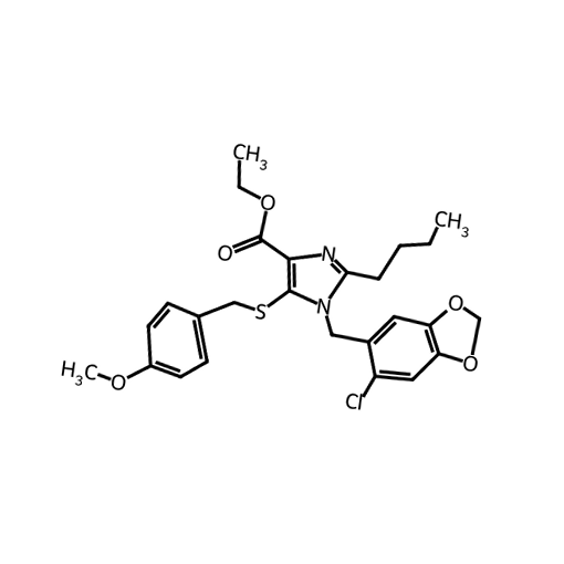 CCCCc1nc(C(=O)OCC)c(SCc2ccc(OC)cc2)n1Cc1cc2c(cc1Cl)OCO2